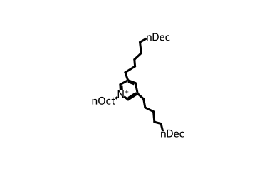 CCCCCCCCCCCCCCCc1cc(CCCCCCCCCCCCCCC)c[n+](CCCCCCCC)c1